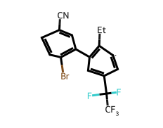 CCc1[c]cc(C(F)(F)C(F)(F)F)cc1-c1cc(C#N)ccc1Br